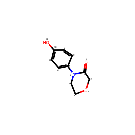 O=C1COCCN1c1ccc(O)cc1